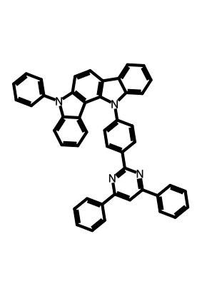 c1ccc(-c2cc(-c3ccccc3)nc(-c3ccc(-n4c5ccccc5c5ccc6c(c7ccccc7n6-c6ccccc6)c54)cc3)n2)cc1